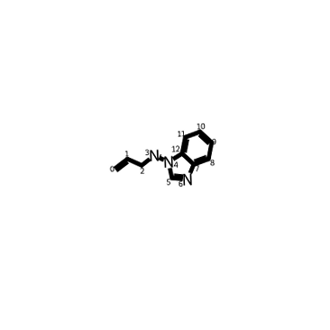 C=CC[N]n1cnc2ccccc21